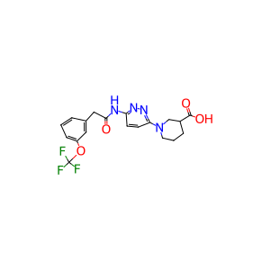 O=C(Cc1cccc(OC(F)(F)F)c1)Nc1ccc(N2CCCC(C(=O)O)C2)nn1